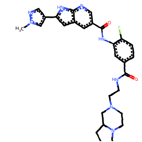 Cn1cc(-c2cc3cc(C(=O)Nc4cc(C(=O)NCCN5CCN6C(=O)CCC6C5)ccc4F)cnc3[nH]2)cn1